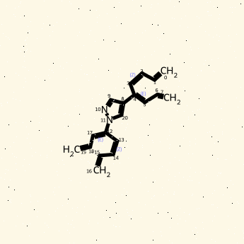 C=C/C=C\C(=C/C=C)c1cnn(C(/C=C\C=C)=C/C=C)c1